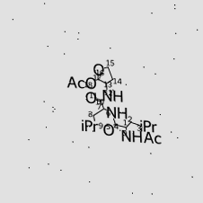 CC(=O)NC(CC(C)C)C(=O)NC(CC(C)C)C(=O)NC1CCOC1OC(C)=O